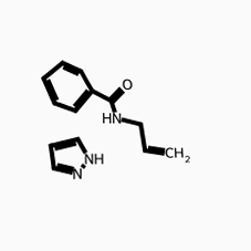 C=CCNC(=O)c1ccccc1.c1cn[nH]c1